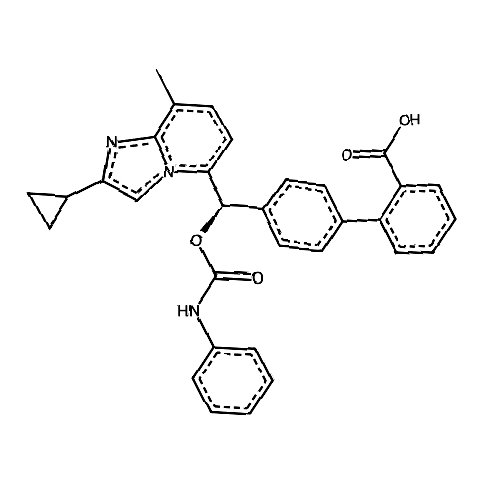 Cc1ccc([C@H](OC(=O)Nc2ccccc2)c2ccc(-c3ccccc3C(=O)O)cc2)n2cc(C3CC3)nc12